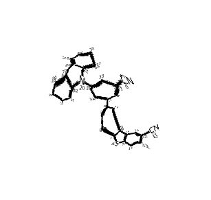 N#Cc1cc(-c2ccc3sc4ccc(C#N)cc4c3c2)cc(-n2c3ccccc3c3ccccc32)c1